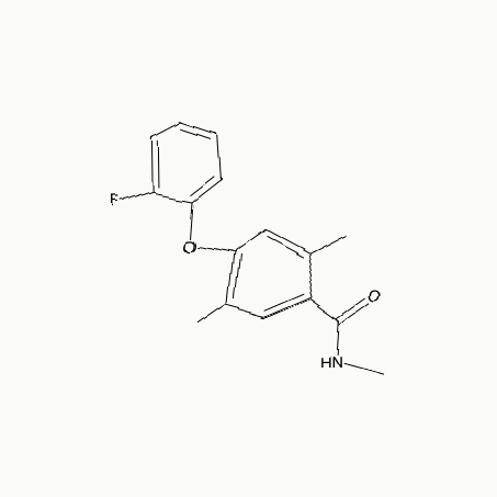 CNC(=O)c1cc(C)c(Oc2ccccc2F)cc1C